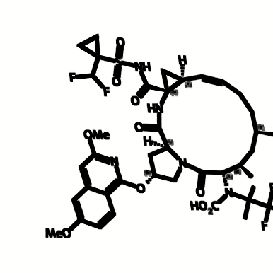 COc1ccc2c(O[C@@H]3C[C@H]4C(=O)N[C@]5(C(=O)NS(=O)(=O)C6(C(F)F)CC6)C[C@H]5C=CCC[C@@H](C)C[C@@H](C)[C@H](N(C(=O)O)C(C)(C)C(C)(F)F)C(=O)N4C3)nc(OC)cc2c1